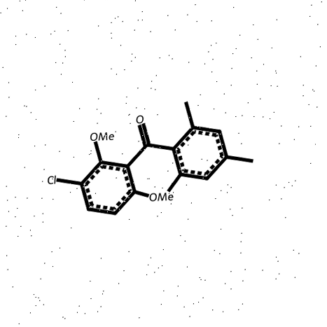 COc1ccc(Cl)c(OC)c1C(=O)c1c(C)cc(C)cc1C